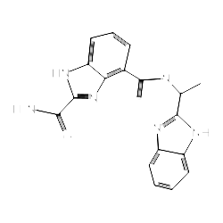 CC(NC(=O)c1cccc2[nH]c(C(N)=O)nc12)c1nc2ccccc2[nH]1